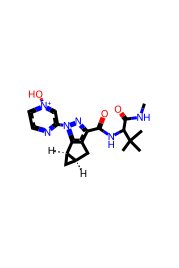 CNC(=O)C(NC(=O)c1nn(-c2c[n+](O)ccn2)c2c1C[C@H]1C[C@@H]21)C(C)(C)C